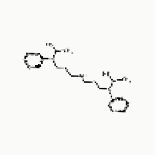 CC(S)N(CCCNCCCN(c1ccccc1)C(C)S)c1ccccc1